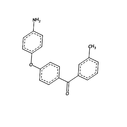 Cc1cccc(C(=O)c2ccc(Oc3ccc(N)cc3)cc2)c1